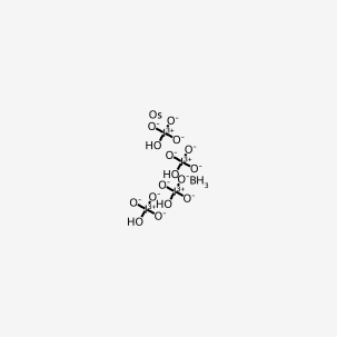 B.[O-][I+3]([O-])([O-])O.[O-][I+3]([O-])([O-])O.[O-][I+3]([O-])([O-])O.[O-][I+3]([O-])([O-])O.[Os]